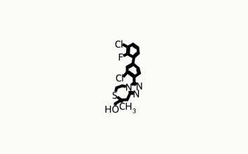 CC1(CO)Cc2nnc(-c3ccc(-c4cccc(Cl)c4F)cc3Cl)n2CCS1